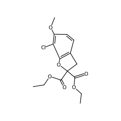 CCOC(=O)C1(C(=O)OCC)Cc2ccc(OC)c(Cl)c2O1